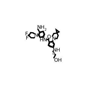 NCc1ccc(NC(=O)c2ccc(NSCCO)cc2N2CCC3(CC2)CC3)cc1N1CCC(F)(F)CC1